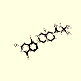 C[C@@H]1Cc2c(ccc([C@H]3CN4CCN(C(=O)OC(C)(C)C)C[C@@H]4CO3)c2F)C(=O)O1